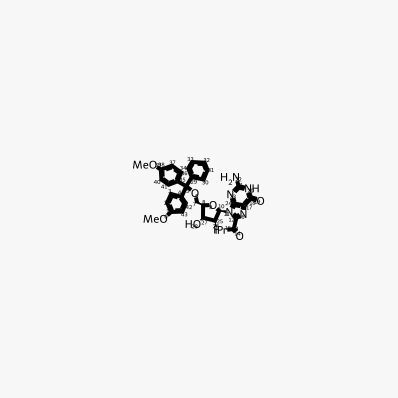 COc1ccc(C(OC[C@H]2O[C@@H](n3c(C(=O)C(C)C)nc4c(=O)[nH]c(N)nc43)[C@H](F)[C@@H]2O)(c2ccccc2)c2ccc(OC)cc2)cc1